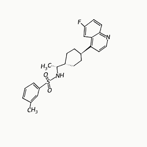 Cc1cccc(S(=O)(=O)N[C@H](C)[C@H]2CC[C@H](c3ccnc4ccc(F)cc43)CC2)c1